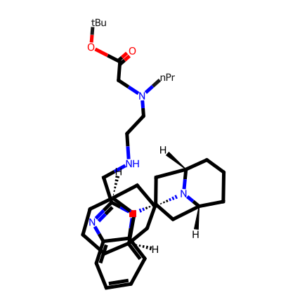 CCCN(CCNCc1nc2ccccc2n1[C@H]1C[C@H]2CCC[C@@H](C1)N2[C@H]1C[C@@H]2CCC[C@@H](C2)C1)CC(=O)OC(C)(C)C